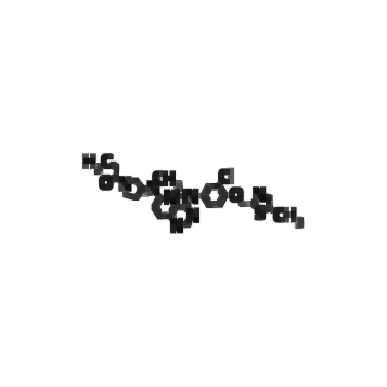 C=CC(=O)N1CC[C@H](N(C)c2ccc3ncnc(Nc4ccc(OCc5ncc(C)s5)c(Cl)c4)c3n2)C1